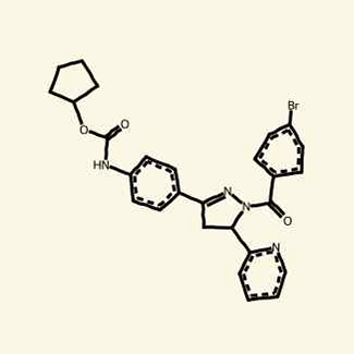 O=C(Nc1ccc(C2=NN(C(=O)c3ccc(Br)cc3)C(c3ccccn3)C2)cc1)OC1CCCC1